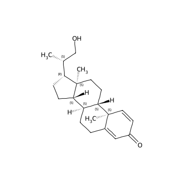 C[C@H](CO)[C@H]1CC[C@H]2[C@@H]3CCC4=CC(=O)C=C[C@]4(C)[C@H]3CC[C@]12C